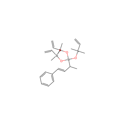 C=C[Si](C)(C)O[Si](O[Si](C)(C)C=C)(O[Si](C)(C)C=C)C(C)/C=C/c1ccccc1